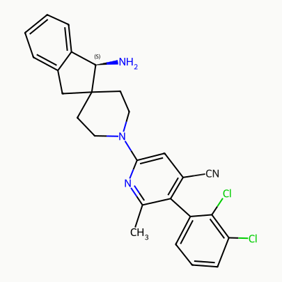 Cc1nc(N2CCC3(CC2)Cc2ccccc2[C@H]3N)cc(C#N)c1-c1cccc(Cl)c1Cl